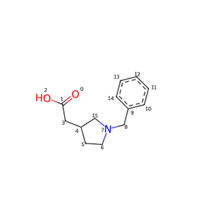 O=C(O)CC1CCN(Cc2ccccc2)C1